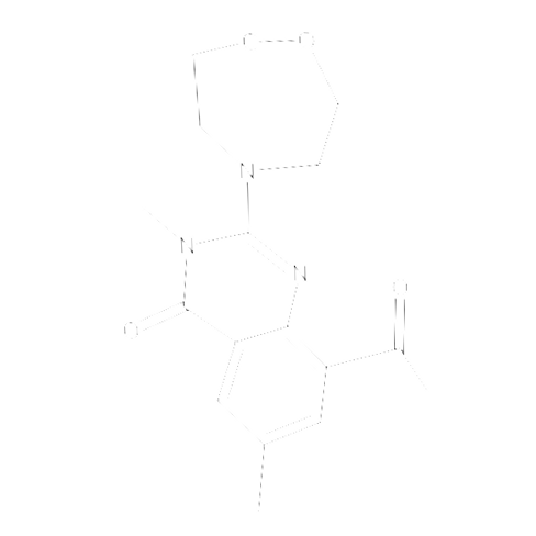 CC(=O)c1cc(C)cc2c(=O)n(C)c(N3CCCOCC3)nc12